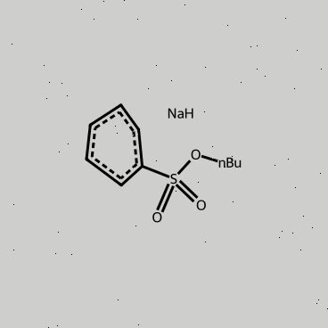 CCCCOS(=O)(=O)c1ccccc1.[NaH]